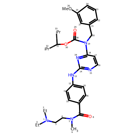 CCN(CC)CCN(C)C(=O)c1ccc(Nc2nccc(N(Cc3cccc(OC)c3)C(=O)OC(C(C)C)C(C)C)n2)cc1